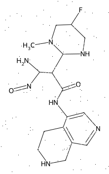 CN1CC(F)CNC1C(C(=O)Nc1cncc2c1CCNC2)C(N)N=O